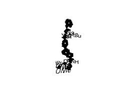 COC(=O)NC(C(=O)N1CCC[C@H]1c1nc(-c2ccc3cc(-c4ccc(-c5cnc([C@@H]6C[C@@H](Cc7ccccc7)CN6C(=O)OC(C)(C)C)[nH]5)cc4)ccc3c2)c[nH]1)C(C)C